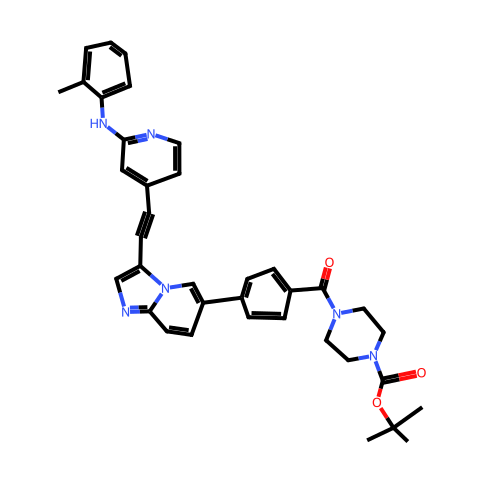 Cc1ccccc1Nc1cc(C#Cc2cnc3ccc(-c4ccc(C(=O)N5CCN(C(=O)OC(C)(C)C)CC5)cc4)cn23)ccn1